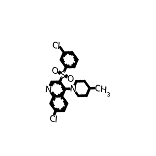 CC1CCN(c2c(S(=O)(=O)c3cccc(Cl)c3)cnc3cc(Cl)ccc23)CC1